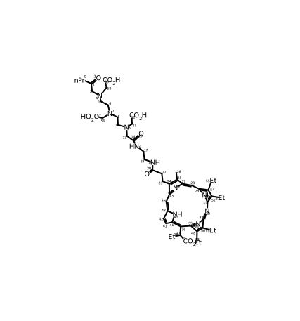 CCCC(=O)CN(CCN(CCN(CC(=O)O)CC(=O)NCCNC(=O)CCC1=C(C)c2cc3[nH]c(nc4nc(c(C(CC)C(=O)O)c5ccc(cc1n2)[nH]5)C(CC)=C4CC)c(CC)c3CC)CC(=O)O)CC(=O)O